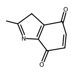 CC1=NC2=C(C1)C(=O)C=CC2=O